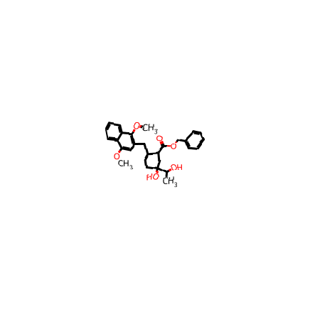 COc1cc(CC2CCC(O)(C(C)O)CC2C(=O)OCc2ccccc2)c(OC)c2ccccc12